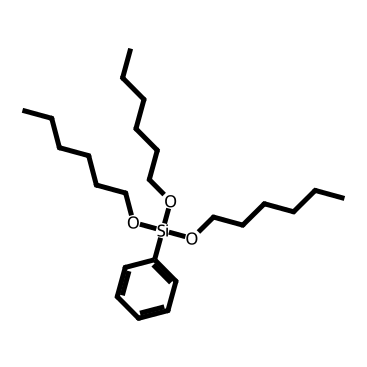 CCCCCCO[Si](OCCCCCC)(OCCCCCC)c1ccccc1